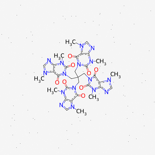 Cn1cnc2c1c(=O)n(CC(Cn1c(=O)c3c(ncn3C)n(C)c1=O)(Cn1c(=O)c3c(ncn3C)n(C)c1=O)Cn1c(=O)c3c(ncn3C)n(C)c1=O)c(=O)n2C